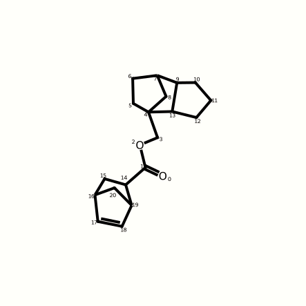 O=C(OCC12CCC(C1)C1CCCC12)C1CC2C=CC1C2